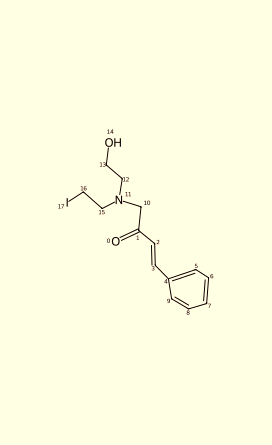 O=C(/C=C/c1ccccc1)CN(CCO)CCI